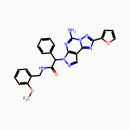 Nc1nc2c(cnn2C(C(=O)NCc2ccccc2OC(F)(F)F)c2ccccc2)c2nc(-c3ccco3)nn12